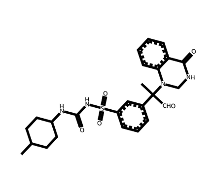 CC1CCC(NC(=O)NS(=O)(=O)c2cccc(C(C)(C=O)N3CNC(=O)c4ccccc43)c2)CC1